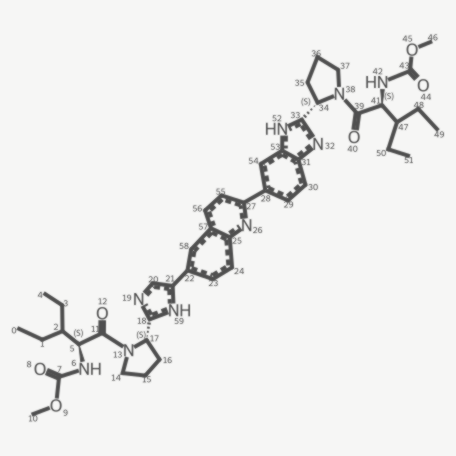 CCC(CC)[C@H](NC(=O)OC)C(=O)N1CCC[C@H]1c1ncc(-c2ccc3nc(-c4ccc5nc([C@@H]6CCCN6C(=O)[C@@H](NC(=O)OC)C(CC)CC)[nH]c5c4)ccc3c2)[nH]1